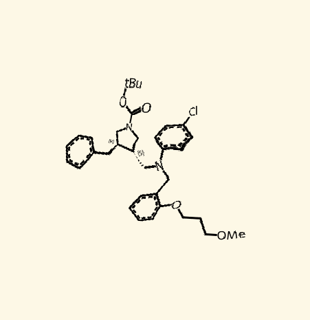 COCCCOc1ccccc1CN(C[C@H]1CN(C(=O)OC(C)(C)C)C[C@@H]1Cc1ccccc1)c1ccc(Cl)cc1